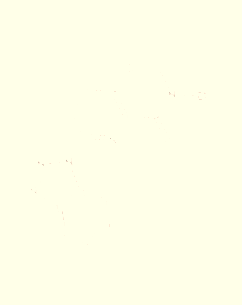 C=C(c1nc(-n2nnc3ccccc32)ccc1CC)N(C)CC